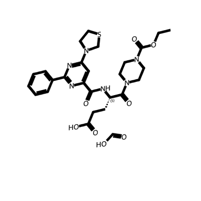 CCOC(=O)N1CCN(C(=O)[C@H](CCC(=O)O)NC(=O)c2cc(N3CCSC3)nc(-c3ccccc3)n2)CC1.O=CO